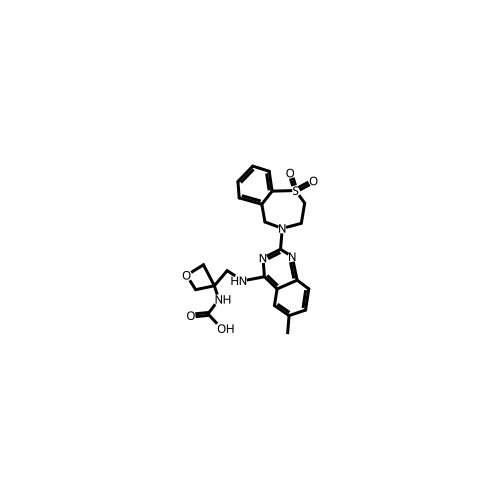 Cc1ccc2nc(N3CCS(=O)(=O)c4ccccc4C3)nc(NCC3(NC(=O)O)COC3)c2c1